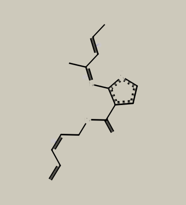 C=C/C=C\CNC(=O)c1cc[nH]c1/N=C(C)\C=C\C